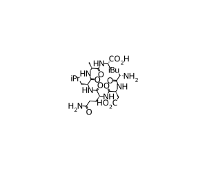 CC[C@H](C)[C@H](N)C(=O)N[C@@H](CC(=O)O)C(=O)N[C@@H](CCC(N)=O)C(=O)N[C@@H](CC(C)C)C(=O)N[C@@H](C)C(=O)N[C@@H](C)C(=O)O